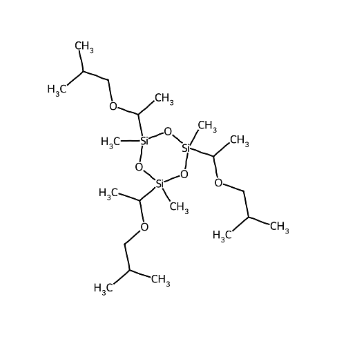 CC(C)COC(C)[Si]1(C)O[Si](C)(C(C)OCC(C)C)O[Si](C)(C(C)OCC(C)C)O1